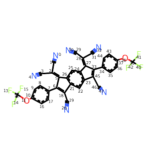 N#CC(C#N)=C1C(c2ccc(OC(F)(F)F)cc2)=C(C#N)c2cc3c(cc21)C(=C(C#N)C#N)C(c1ccc(OC(F)(F)F)cc1)=C3C#N